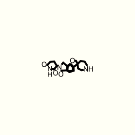 O=C1CCC(N2Cc3c(ccc4c3OCC43CCCNCC3)C2=O)C(=O)N1